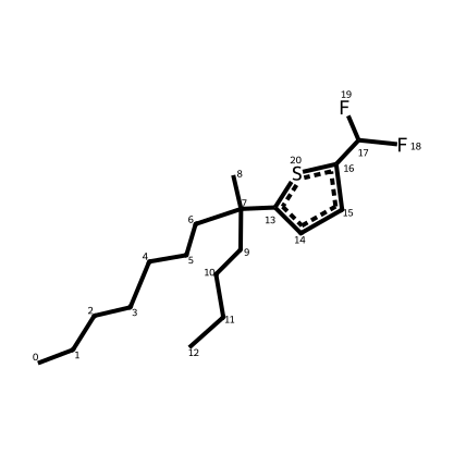 CCCCCCCC(C)(CCCC)c1ccc(C(F)F)s1